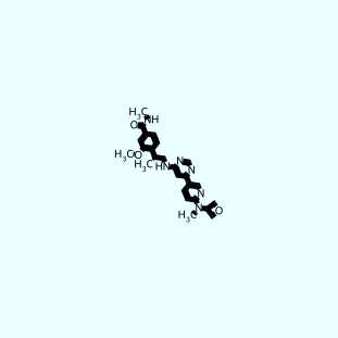 CNC(=O)c1ccc([C@H](C)CNc2cc(-c3ccc(N(C)C4COC4)nc3)ncn2)c(OC)c1